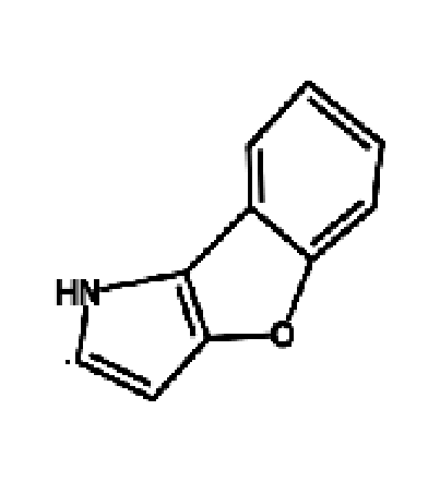 [c]1cc2oc3ccccc3c2[nH]1